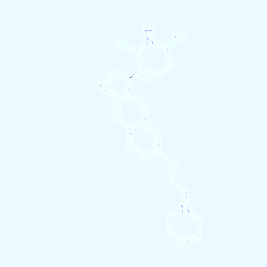 O=C1CC[C@@H](c2coc3cc4ccc(OCCN5CCOCC5)cc4cc23)C(=O)N1